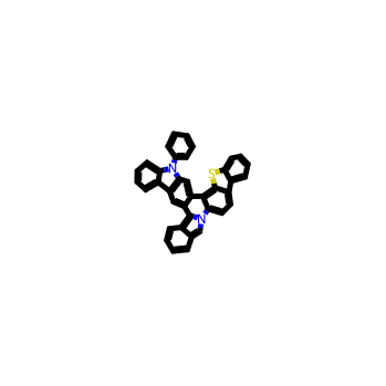 c1ccc(-n2c3ccccc3c3cc4c(cc32)c2c3sc5ccccc5c3ccc2n2cc3ccccc3c42)cc1